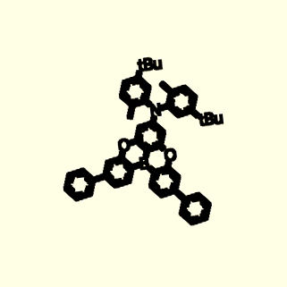 Cc1ccc(C(C)(C)C)cc1N(c1cc2c3c(c1)Oc1cc(-c4ccccc4)ccc1B3c1ccc(-c3ccccc3)cc1O2)c1cc(C(C)(C)C)ccc1C